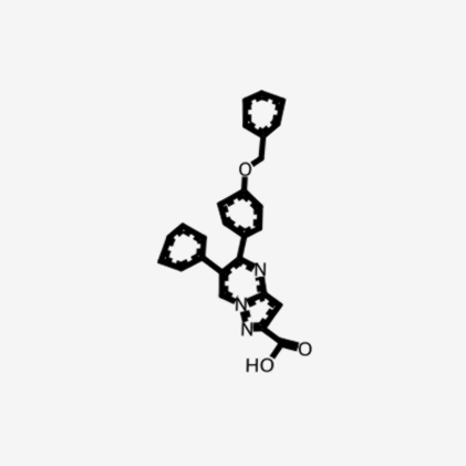 O=C(O)c1cc2nc(-c3ccc(OCc4ccccc4)cc3)c(-c3ccccc3)cn2n1